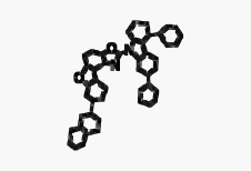 c1ccc(-c2ccc3c4c(-c5ccccc5)cccc4n(-c4nc5c(ccc6oc7cc(-c8ccc9ccccc9c8)ccc7c65)o4)c3c2)cc1